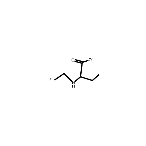 CCNC(CC)C(=O)[O-].[Li+]